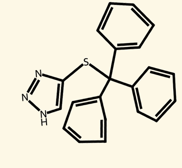 c1ccc(C(Sc2c[nH]nn2)(c2ccccc2)c2ccccc2)cc1